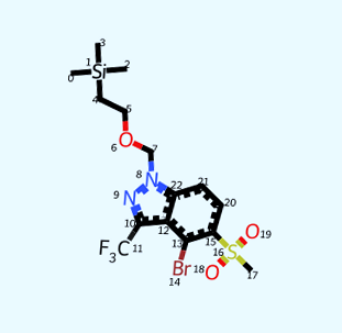 C[Si](C)(C)CCOCn1nc(C(F)(F)F)c2c(Br)c(S(C)(=O)=O)ccc21